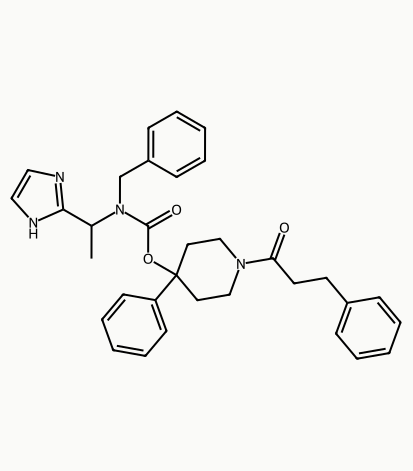 CC(c1ncc[nH]1)N(Cc1ccccc1)C(=O)OC1(c2ccccc2)CCN(C(=O)CCc2ccccc2)CC1